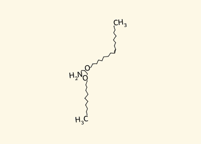 CCCCCCCC/C=C\CCCCCCCCOC(CN)COCCCCCCCCCCCC